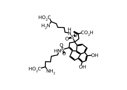 C=C(CC1(S(=O)(=O)NCCCCC(N)C(=O)O)CC(S(=O)(=O)NCCCCC(N)C(=O)O)=c2ccc3c(O)cc(O)c4ccc1c2c43)C(=O)O